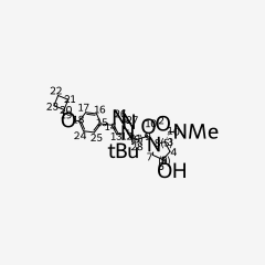 CNC(=O)[C@@H]1C[C@@H](O)CN1C(=O)[C@@H](n1cc(-c2ccc(OC3CCC3)cc2)nn1)C(C)(C)C